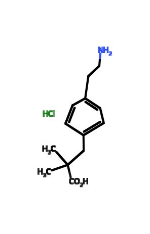 CC(C)(Cc1ccc(CCN)cc1)C(=O)O.Cl